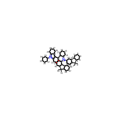 CC1(C)c2ccccc2-c2cc(N(c3ccccc3-c3cccc4c3c3ccccc3n4-c3ccccc3)c3cccc4c3-c3ccccc3C4(C)C)ccc21